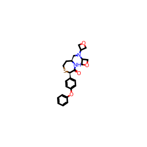 O=C1N[C@H](CN(C2COC2)C2COC2)CCS[C@@H]1c1ccc(Oc2ccccc2)cc1